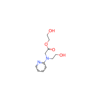 O=C(CN(CCO)c1ccccn1)OCCO